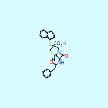 O=C(Cc1ccccc1)N[C@@H]1C(=O)N2CC(Sc3cccc4ccccc34)(C(=O)O)CS[C@H]12